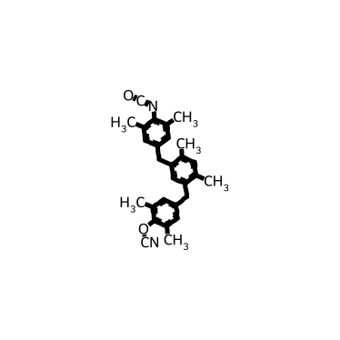 Cc1cc(C)c(Cc2cc(C)c(OC#N)c(C)c2)cc1Cc1cc(C)c(N=C=O)c(C)c1